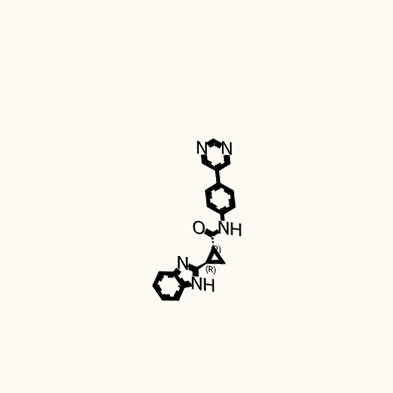 O=C(Nc1ccc(-c2cncnc2)cc1)[C@@H]1C[C@H]1c1nc2ccccc2[nH]1